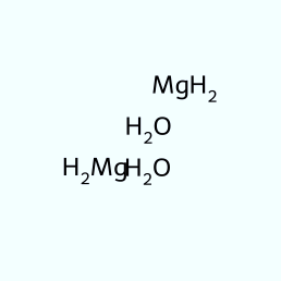 O.O.[MgH2].[MgH2]